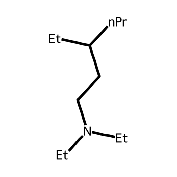 CCCC(CC)CCN(CC)CC